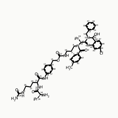 Cc1ccc(C(=O)N(CCCNC(=O)OCc2ccc(NC(=O)C(CCCNC(N)=O)NC(=O)[C@@H](N)C(C)C)cc2)[C@H](C2=Nc3cc(Cl)ccc3C(O)N2Cc2ccccc2)C(C)C)cc1